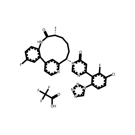 C[C@@H]1CCC[C@H](n2cnc(-c3c(-n4cnnn4)ccc(Cl)c3F)cc2=O)c2cc(ccn2)-c2cc(F)ccc2NC1=O.O=C(O)C(F)(F)F